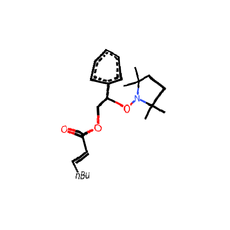 CCCCC=CC(=O)OCC(ON1C(C)(C)CCC1(C)C)c1ccccc1